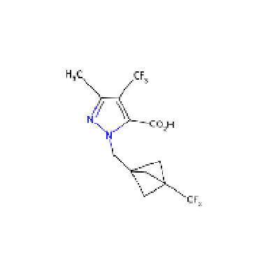 Cc1nn(CC23CC(C(F)(F)F)(C2)C3)c(C(=O)O)c1C(F)(F)F